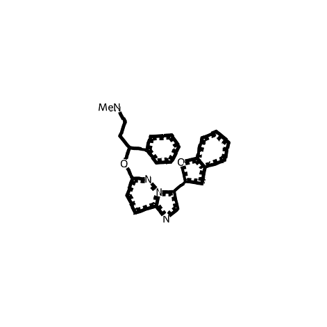 CNCCC(Oc1ccc2ncc(-c3cc4ccccc4o3)n2n1)c1ccccc1